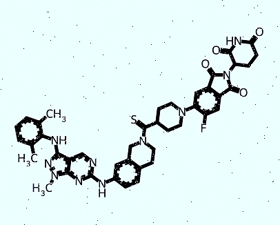 Cc1cccc(C)c1Nc1nn(C)c2nc(Nc3ccc4c(c3)CN(C(=S)C3CCN(c5cc6c(cc5F)C(=O)N(C5CCC(=O)NC5=O)C6=O)CC3)CC4)ncc12